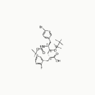 CC(C)(C)OC(=O)N[C@@H](Cc1ccc(Br)cc1)[C@H](C[C@@H](Cc1ccccc1F)C(=O)O)O[Si](C)(C)C(C)(C)C